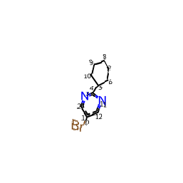 Brc1cnc(C2CCCCC2)nc1